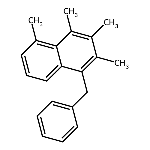 Cc1c(C)c(C)c2c(C)cccc2c1Cc1ccccc1